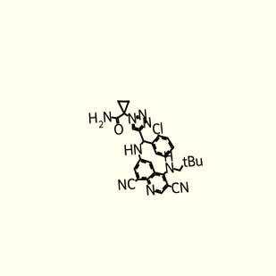 CC(C)(C)CNc1c(C#N)cnc2c(C#N)cc(NC(c3cn(C4(C(N)=O)CC4)nn3)c3ccccc3Cl)cc12